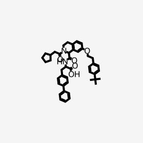 CC(C)(C)c1ccc(CCOc2ccc3c(c2)C(C(=O)NC(Cc2ccc(-c4ccccc4)cc2)C(=O)O)N(C(=O)CC2CCCC2)CC3)cc1